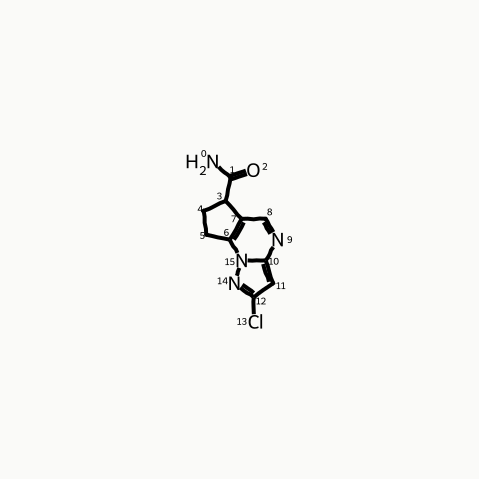 NC(=O)C1CCc2c1cnc1cc(Cl)nn21